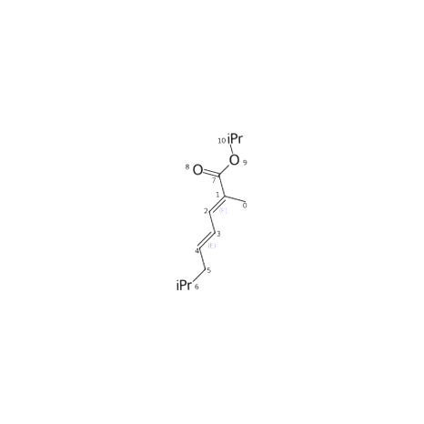 C/C(=C\C=C\CC(C)C)C(=O)OC(C)C